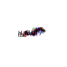 CC(C)(C)OC(=O)N1CC(CCCCNc2ccc(S(=O)(=O)NC(=O)c3ccc(-n4ccc(OCCC5(C(F)(F)F)CC5)n4)nc3Cl)nc2)CC1(C)C